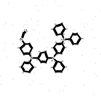 S=C=Nc1ccc(N(c2ccccc2)c2ccc(N(c3ccccc3)c3ccc(N(c4ccccc4)c4ccccc4)cc3)cc2)cc1